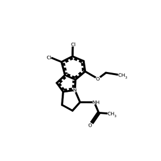 CCOc1cc(Cl)c(Cl)c2cc3n(c12)C(NC(C)=O)CC3